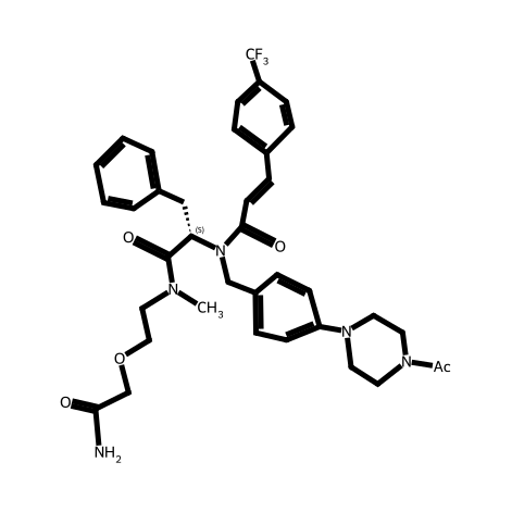 CC(=O)N1CCN(c2ccc(CN(C(=O)C=Cc3ccc(C(F)(F)F)cc3)[C@@H](Cc3ccccc3)C(=O)N(C)CCOCC(N)=O)cc2)CC1